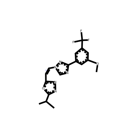 COc1cc(-c2ncn(/C=C\c3nnc(C(C)C)o3)n2)cc(C(F)(F)F)c1